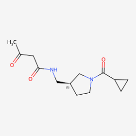 CC(=O)CC(=O)NC[C@@H]1CCN(C(=O)C2CC2)C1